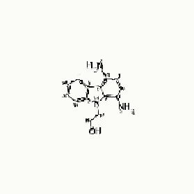 Nc1ccc(N)c2c1c1ccccc1n2CCO